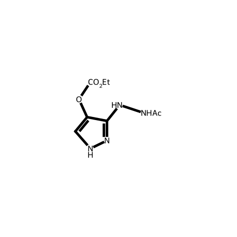 CCOC(=O)Oc1c[nH]nc1NNC(C)=O